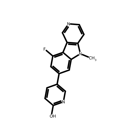 Cn1c2ccncc2c2c(F)cc(-c3ccc(O)nc3)cc21